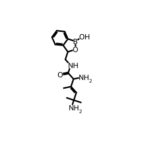 C/C(=C\C(C)(C)N)C(N)C(=O)NCC1OB(O)c2ccccc21